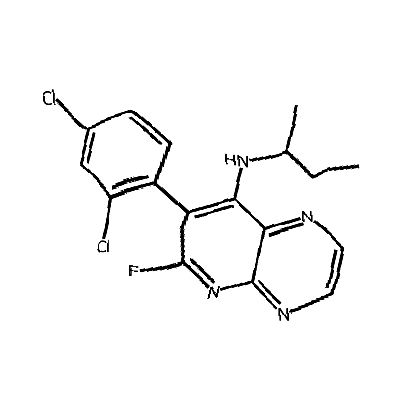 CCC(C)Nc1c(-c2ccc(Cl)cc2Cl)c(F)nc2nccnc12